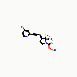 CC(C)(C)OC(=O)N1CC/C(=C\C#Cc2cc(Cl)ccn2)C1(C)C